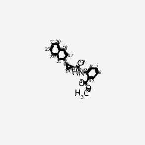 COC(=O)c1ccccc1NC(=O)[C@H]1C[C@@H]1c1ccc2ccccc2c1